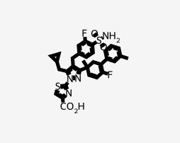 Cc1cccc(C2=C(F)C=CC(C)(c3nn(-c4nc(C(=O)O)cs4)c(CC4CC4)c3Cc3ccc(S(N)(=O)=O)c(F)c3)C2)c1